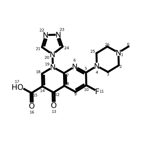 CN1CCN(c2nc3c(cc2F)c(=O)c(C(=O)O)cn3-n2cnnc2)CC1